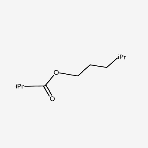 C[C](C)C(=O)OCCCC(C)C